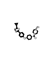 CC(C)N1CCN(C(=O)[C@H]2CC[C@H](Oc3ccc(-c4nnc(C5CC5)o4)cc3)CC2)CC1